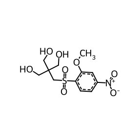 COc1cc([N+](=O)[O-])ccc1S(=O)(=O)CC(CO)(CO)CO